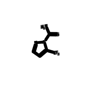 NC(=S)n1nccc1C(F)(F)F